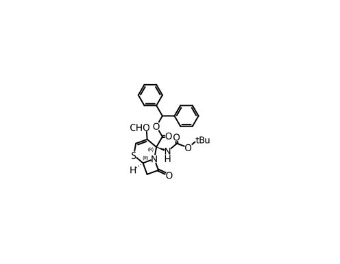 CC(C)(C)OC(=O)N[C@]1(C(=O)OC(c2ccccc2)c2ccccc2)C(C=O)=CS[C@@H]2CC(=O)N21